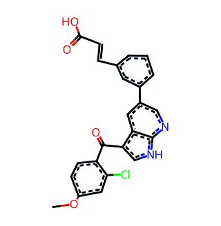 COc1ccc(C(=O)c2c[nH]c3ncc(-c4cccc(/C=C/C(=O)O)c4)cc23)c(Cl)c1